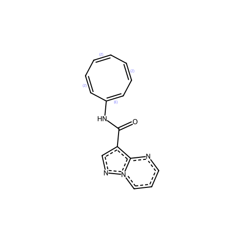 O=C(NC1=C/C=C\C=C/C=C\1)c1cnn2cccnc12